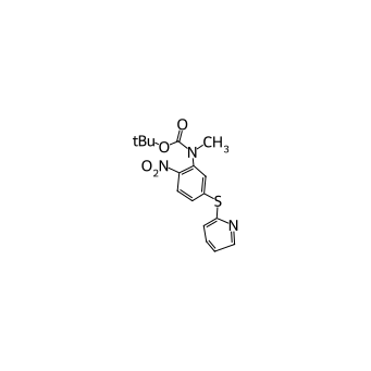 CN(C(=O)OC(C)(C)C)c1cc(Sc2ccccn2)ccc1[N+](=O)[O-]